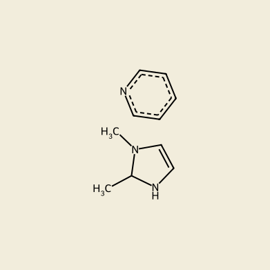 CC1NC=CN1C.c1ccncc1